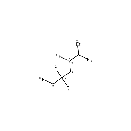 [CH2]CC(F)[C@@H](F)CC(F)(F)CF